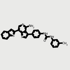 Cc1cccc(NC(=O)Nc2ccc(-c3csc4c(-c5cc6ccccc6s5)cnc(N)c34)cc2)c1